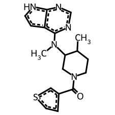 CC1CCN(C(=O)c2ccsc2)CC1N(C)c1ncnc2[nH]ccc12